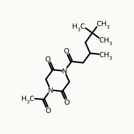 CC(=O)N1CC(=O)N(C(=O)CC(C)CC(C)(C)C)CC1=O